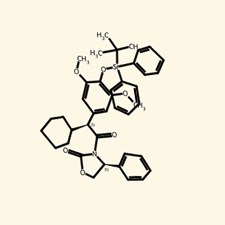 COc1cc([C@@H](C(=O)N2C(=O)OC[C@@H]2c2ccccc2)C2CCCCC2)cc(OC)c1O[Si](c1ccccc1)(c1ccccc1)C(C)(C)C